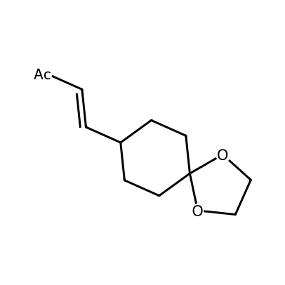 CC(=O)C=CC1CCC2(CC1)OCCO2